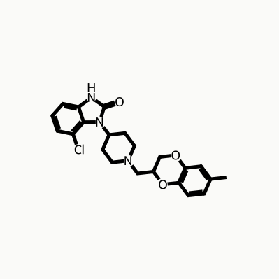 Cc1ccc2c(c1)OCC(CN1CCC(n3c(=O)[nH]c4cccc(Cl)c43)CC1)O2